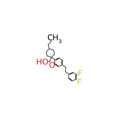 CCCC1CCC(C(=O)O)(c2ccc(CCc3ccc(F)c(F)c3)cc2)CC1